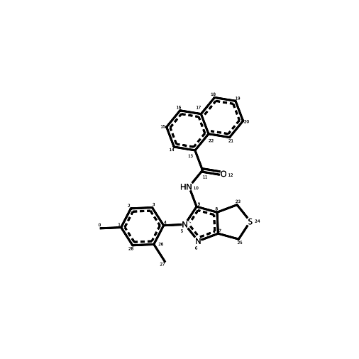 Cc1ccc(-n2nc3c(c2NC(=O)c2cccc4ccccc24)CSC3)c(C)c1